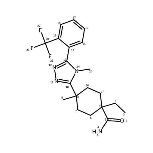 CCC1(C(N)=O)CCC(C)(c2nnc(-c3ccccc3C(F)(F)F)n2C)CC1